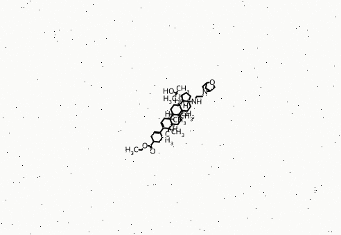 CCOC(=O)C1CC=C(C2=CC[C@]3(C)[C@H]4CC[C@@H]5[C@H]6[C@H](C(C)(C)O)CC[C@]6(NCCN6CC7CC6CO7)CC[C@@]5(C)[C@]4(C)CC[C@H]3C2(C)C)CC1